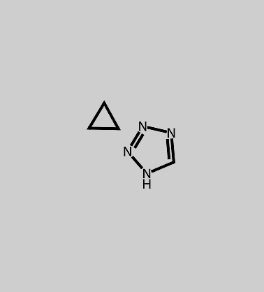 C1CC1.c1nnn[nH]1